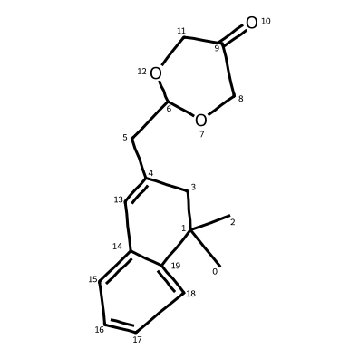 CC1(C)CC(CC2OCC(=O)CO2)=Cc2ccccc21